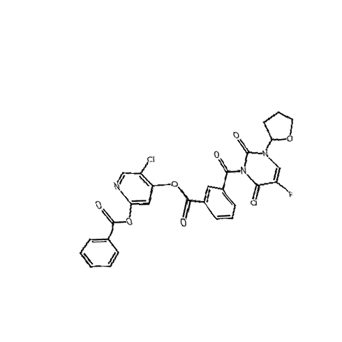 O=C(Oc1cc(OC(=O)c2cccc(C(=O)n3c(=O)c(F)cn(C4CCCO4)c3=O)c2)c(Cl)cn1)c1ccccc1